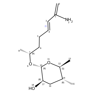 C=C(N)/C=C/CC[C@@H](C)O[C@@H]1O[C@@H](C)[C@H](C)C[C@H]1O